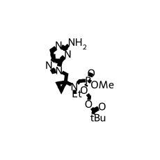 [CH2]OP(=O)(CN(CC)C1(Cn2cnc3cnc(N)nc32)CC1)OCOC(=O)C(C)(C)C